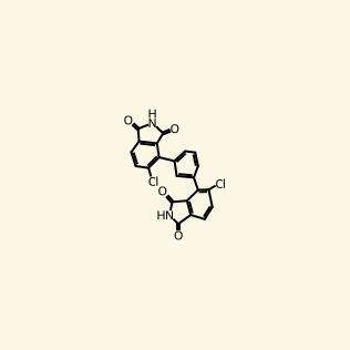 O=C1NC(=O)c2c1ccc(Cl)c2-c1cccc(-c2c(Cl)ccc3c2C(=O)NC3=O)c1